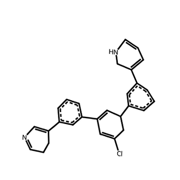 ClC1=CC(c2cccc(C3=CN=CCC3)c2)=CC(c2cccc(C3=CC=CNC3)c2)C1